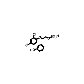 O=S(=O)(O)OCCOc1ccc(Cl)cc1Cl.Oc1ccccc1